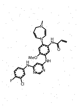 C=CC(=O)Nc1cc(Nc2cc(Nc3ccc(F)c(Cl)c3)ncn2)c(OC)cc1N1C=CCN(C)C=C1